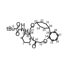 CC(C)(C)S(=O)(=O)NC1CCCN2C(=O)COc3ccccc3C3CCC(CC3)OC[C@@H]12